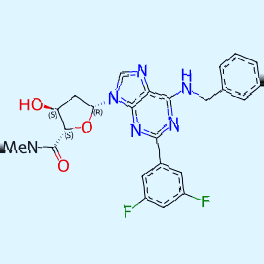 CNC(=O)[C@H]1O[C@@H](n2cnc3c(NCc4ccccc4)nc(-c4cc(F)cc(F)c4)nc32)C[C@@H]1O